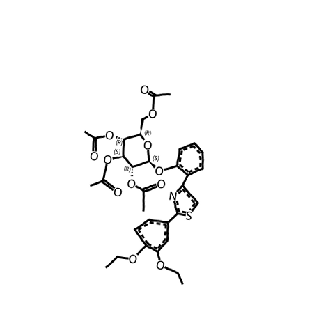 CCOc1ccc(-c2nc(-c3ccccc3O[C@@H]3O[C@H](COC(C)=O)[C@@H](OC(C)=O)[C@H](OC(C)=O)[C@H]3OC(C)=O)cs2)cc1OCC